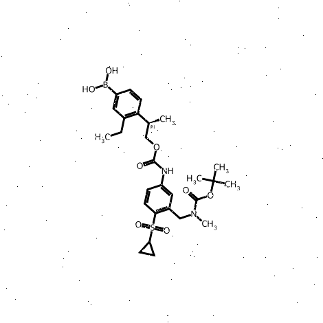 CCc1cc(B(O)O)ccc1[C@@H](C)COC(=O)Nc1ccc(S(=O)(=O)C2CC2)c(CN(C)C(=O)OC(C)(C)C)c1